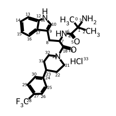 CC(C)(N)C(=O)NC(Cc1c[nH]c2ccccc12)C(=O)N1CCC(c2ccc(C(F)(F)F)cc2)CC1.Cl